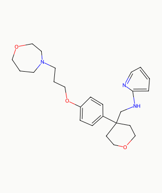 c1ccc(NCC2(c3ccc(OCCCN4CCCOCC4)cc3)CCOCC2)nc1